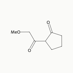 COCC(=O)C1CCCC1=O